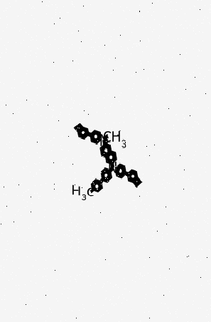 Cc1ccc(-c2ccc(N(c3ccc(-c4ccc5c(c4)CC5)cc3)c3ccc4cc(N(C)c5ccc(-c6ccc7c(c6)CC7)cc5)ccc4c3)cc2)cc1